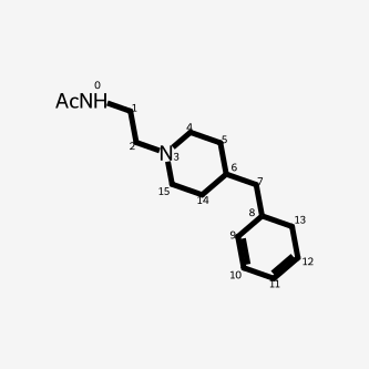 CC(=O)NCCN1CCC(CC2C=CC=CC2)CC1